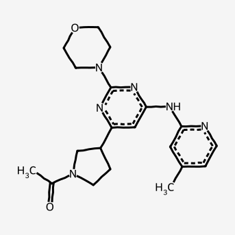 CC(=O)N1CCC(c2cc(Nc3cc(C)ccn3)nc(N3CCOCC3)n2)C1